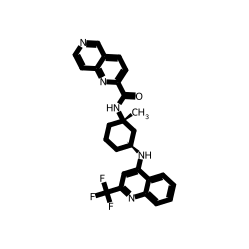 C[C@]1(NC(=O)c2ccc3cnccc3n2)CCC[C@H](Nc2cc(C(F)(F)F)nc3ccccc23)C1